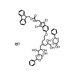 CCn1c(CNC(=O)OCC2c3ccccc3-c3ccccc32)[n+](CC)c2cc(OCCCN(CC(O)C(O)[C@@H]3OC(c4ccccc4)OC[C@H]3O)CC(O)C(O)[C@@H]3OC(c4ccccc4)OC[C@H]3O)ccc21.Cl.[Cl-]